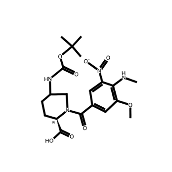 CNc1c(OC)cc(C(=O)N2CC(NC(=O)OC(C)(C)C)CC[C@@H]2C(=O)O)cc1[N+](=O)[O-]